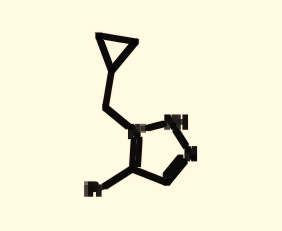 CC(C)c1cn[nH][n+]1CC1CC1